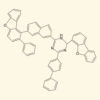 c1ccc(-c2ccc(C3=NC(c4cccc5c4oc4ccccc45)NC(c4ccc5ccc(-c6c(-c7ccccc7)ccc7oc8ccccc8c67)cc5c4)=N3)cc2)cc1